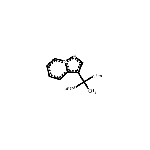 CCCCCCC(C)(CCCCC)c1cnn2ccccc12